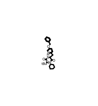 CC(C)(C)OC(=O)NC(Cc1ccc(OCc2ccccc2)cn1)C(=O)NC1CCCCC1